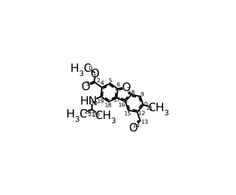 COC(=O)c1cc2oc3cc(C)c(C=O)cc3c2cc1NC(C)C